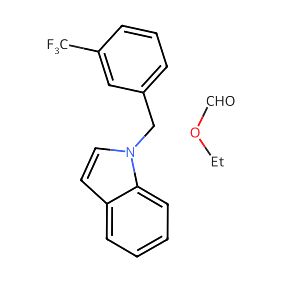 CCOC=O.FC(F)(F)c1cccc(Cn2ccc3ccccc32)c1